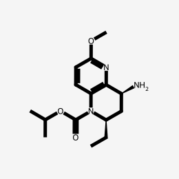 CC[C@@H]1C[C@H](N)c2nc(OC)ccc2N1C(=O)OC(C)C